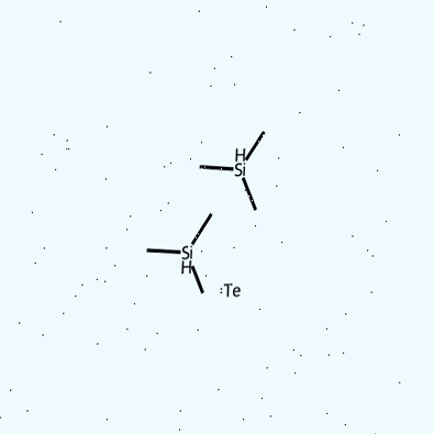 C[SiH](C)C.C[SiH](C)C.[Te]